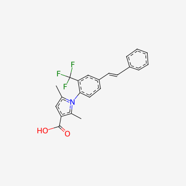 Cc1cc(C(=O)O)c(C)n1-c1ccc(/C=C/c2ccccc2)cc1C(F)(F)F